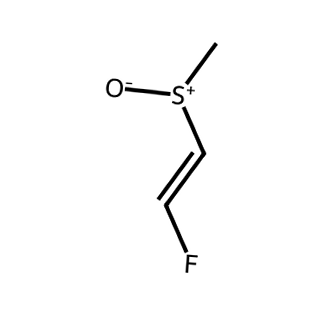 C[S+]([O-])/C=C/F